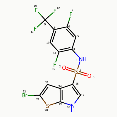 O=S(=O)(Nc1cc(F)c(C(F)(F)F)cc1F)c1c[nH]c2sc(Br)cc12